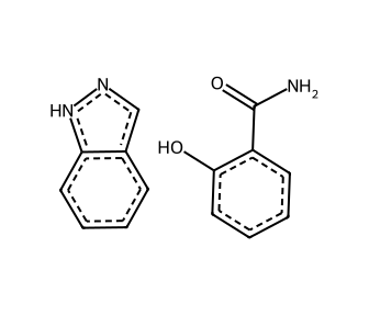 NC(=O)c1ccccc1O.c1ccc2[nH]ncc2c1